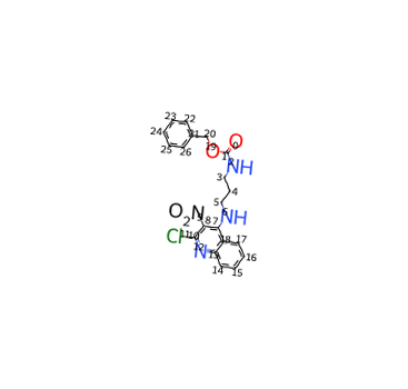 O=C(NCCCNc1c([N+](=O)[O-])c(Cl)nc2ccccc12)OCc1ccccc1